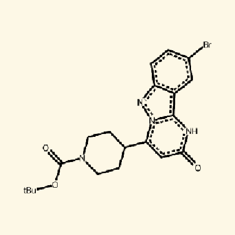 CC(C)(C)OC(=O)N1CCC(c2cc(=O)[nH]c3c4cc(Br)ccc4nn23)CC1